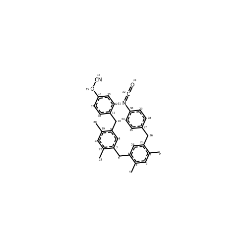 Cc1cc(C)c(Cc2cc(Cc3ccc(OC#N)cc3)c(C)cc2C)cc1Cc1ccc(N=C=O)cc1